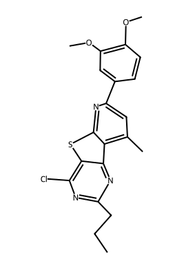 CCCc1nc(Cl)c2sc3nc(-c4ccc(OC)c(OC)c4)cc(C)c3c2n1